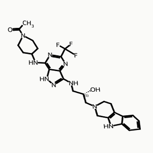 CC(=O)N1CCC(Nc2nc(C(F)(F)F)nc3c(NC[C@H](O)CN4CCc5c([nH]c6ccccc56)C4)n[nH]c23)CC1